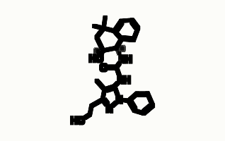 Cc1c(CCO)nn(-c2ccccc2)c1NC(=O)N[C@H]1c2ccccc2C(C)(C)C[C@@H]1O